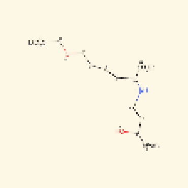 CCCCCC(O)CCNC(CCCCOCC(=O)OCC)C(=O)OCC